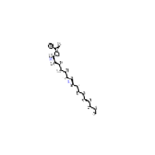 CCCCCCCC/C=C/CCCC/C=C\OC(C)=O